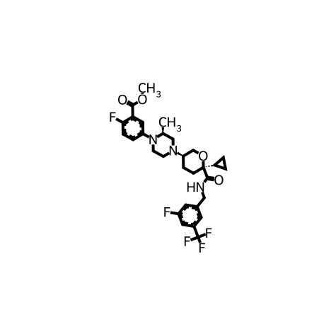 COC(=O)c1cc(N2CCN([C@@H]3CC[C@@](C(=O)NCc4cc(F)cc(C(F)(F)F)c4)(C4CC4)OC3)C[C@@H]2C)ccc1F